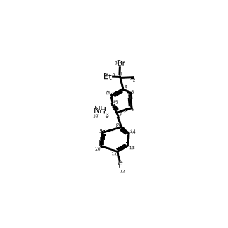 CCC(C)(Br)c1ccc(-c2ccc(F)cc2)cc1.N